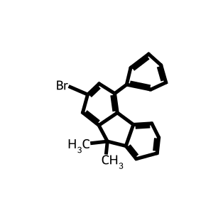 CC1(C)c2ccccc2-c2c(-c3ccccc3)cc(Br)cc21